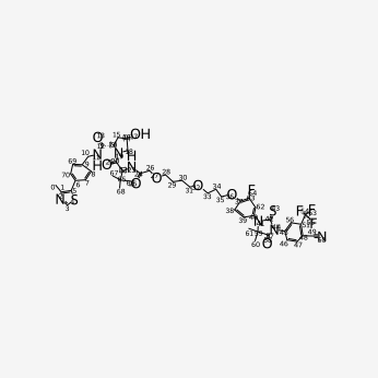 Cc1ncsc1-c1ccc(CNC(=O)[C@@H]2C[C@@H](O)CN2C(=O)[C@@H](NC(=O)COCCCCOCCCOc2ccc(N3C(=S)N(c4ccc(C#N)c(C(F)(F)F)c4)C(=O)C3(C)C)cc2F)C(C)(C)C)cc1